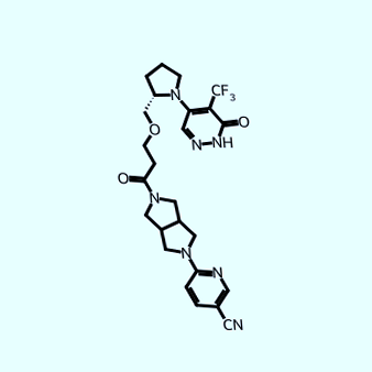 N#Cc1ccc(N2CC3CN(C(=O)CCOC[C@@H]4CCCN4c4cn[nH]c(=O)c4C(F)(F)F)CC3C2)nc1